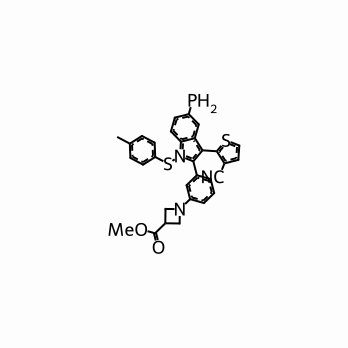 COC(=O)C1CN(c2cccc(-c3c(-c4sccc4C#N)c4cc(P)ccc4n3Sc3ccc(C)cc3)c2)C1